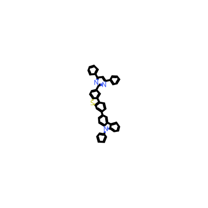 c1ccc(-c2cc(-c3ccccc3)nc(-c3ccc4sc5cc(-c6ccc7c(c6)c6ccccc6n7-c6ccccc6)ccc5c4c3)n2)cc1